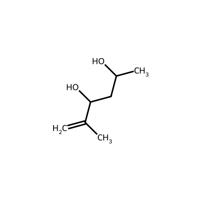 C=C(C)C(O)CC(C)O